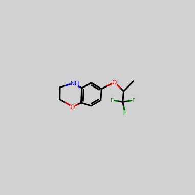 CC(Oc1ccc2c(c1)NCCO2)C(F)(F)F